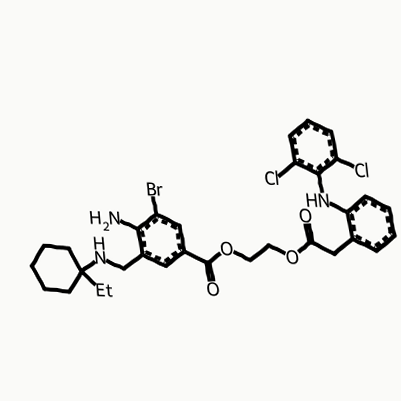 CCC1(NCc2cc(C(=O)OCCOC(=O)Cc3ccccc3Nc3c(Cl)cccc3Cl)cc(Br)c2N)CCCCC1